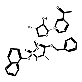 CC(=O)c1ccc[n+]([C@@H]2O[C@H](COP(=O)(N[C@@H](C)C(=O)OCc3ccccc3)Oc3cccc4ccccc34)[C@H](O)C2O)c1